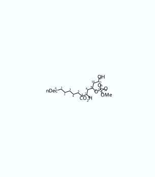 CCCCCCCCCCCCCCCCC(CC(CCO)OS(=O)(=O)OC)C(=O)O